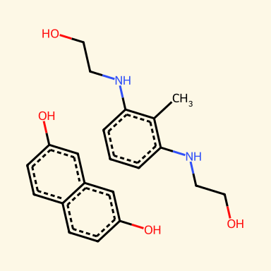 Cc1c(NCCO)cccc1NCCO.Oc1ccc2ccc(O)cc2c1